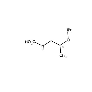 CC(C)O[C@@H](C)CNC(=O)O